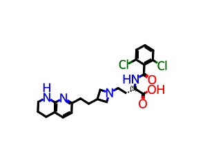 O=C(N[C@@H](CCN1CC(CCc2ccc3c(n2)NCCC3)C1)C(=O)O)c1c(Cl)cccc1Cl